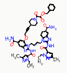 CCn1nc(C)cc1C(=O)Nc1nc2cc(C(N)=O)ccc2n1C/C=C/Cn1c(NC(=O)c2cc(C)nn2CC)nc2cc(C(N)=O)cc(OCC#CC3CCN(C(=O)C(=O)OCc4ccccc4)CC3)c21